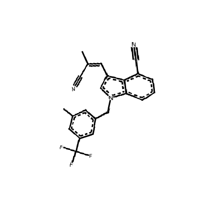 C/C(C#N)=C/c1cn(Cc2cc(C)cc(C(F)(F)F)c2)c2cccc(C#N)c12